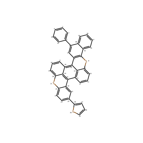 c1ccc(-c2cc3c(sc4cccc5c4c3c3cccc4sc6ccc(-c7cccs7)cc6c5c43)c3ccccc23)cc1